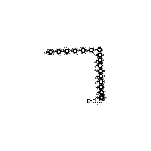 CCOC(C)=O.Cc1ccccc1.Cc1ccccc1.Cc1ccccc1.Cc1ccccc1.Cc1ccccc1.Cc1ccccc1.Cc1ccccc1.Cc1ccccc1.Cc1ccccc1.Cc1ccccc1.Cc1ccccc1.Cc1ccccc1.Cc1ccccc1.Cc1ccccc1.Cc1ccccc1.Cc1ccccc1